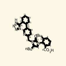 CCCCc1cn(-c2c(C(=O)O)cccc2C(C)(C)C)c(=O)n1Cc1ccc(-c2ccccc2-c2nnn[nH]2)cn1